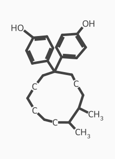 CC1CCCCCCC(c2ccc(O)cc2)(c2ccc(O)cc2)CCCC1C